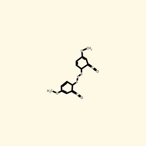 COC1=CC(=C=O)C(SSSC2C=CC(OC)=CC2=C=O)C=C1